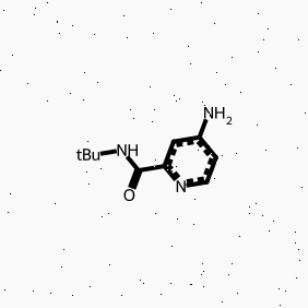 CC(C)(C)NC(=O)c1cc(N)ccn1